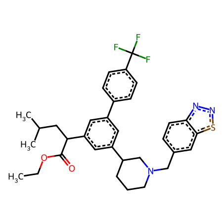 CCOC(=O)C(CC(C)C)c1cc(-c2ccc(C(F)(F)F)cc2)cc(C2CCCN(Cc3ccc4nnsc4c3)C2)c1